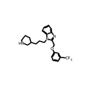 FC(F)(F)c1cccc(OCc2nc3ccccc3n2CCCC2CCCNC2)c1